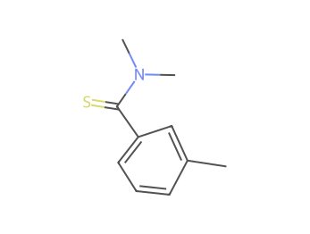 Cc1cccc(C(=S)N(C)C)c1